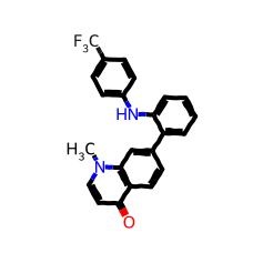 Cn1ccc(=O)c2ccc(-c3ccccc3Nc3ccc(C(F)(F)F)cc3)cc21